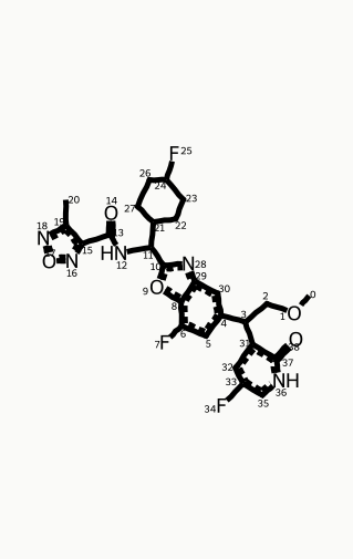 COCC(c1cc(F)c2oc(C(NC(=O)c3nonc3C)C3CCC(F)CC3)nc2c1)c1cc(F)c[nH]c1=O